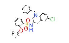 O=S(=O)(NC1Cc2cc(Cl)ccc2N(Cc2ccccc2)C1)c1ccccc1OC(F)(F)F